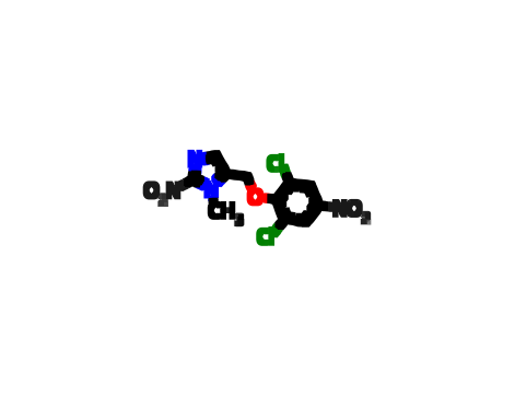 Cn1c(COc2c(Cl)cc([N+](=O)[O-])cc2Cl)cnc1[N+](=O)[O-]